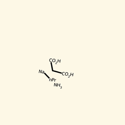 CC[CH2][Na].N.O=C(O)CC(=O)O